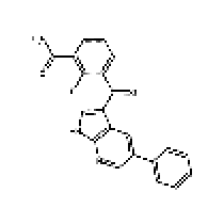 NC(=O)c1cccc(C(=O)c2c[nH]c3ncc(-c4ccccc4)cc23)c1F